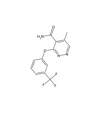 Cc1cnnc(Oc2cccc(C(F)(F)F)c2)c1C(N)=O